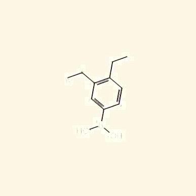 CCc1ccc(B(O)O)cc1CC